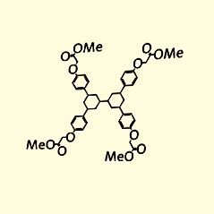 COC(=O)COc1ccc(C2CC(c3ccc(OCC(=O)OC)cc3)CC(C3CC(c4ccc(OCC(=O)OC)cc4)CC(c4ccc(OCC(=O)OC)cc4)C3)C2)cc1